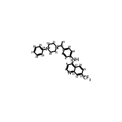 CC(c1ccc(Nc2ccnc3cc(C(F)(F)F)ccc23)cc1)N1CCN(c2ccccc2)CC1